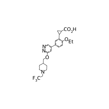 CCOc1ccc(-c2cnnc(OCC3CCN(CC(F)(F)F)CC3)c2)cc1C1CC1C(=O)O